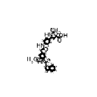 COc1cc(CC(=O)Nc2ccc(C(CCC(=O)O)NC(C)=O)cc2)ccc1NC(=O)N1CCc2ccccc21